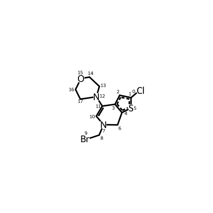 Clc1cc2c(s1)CN(CBr)C=C2N1CCOCC1